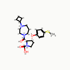 CSc1ccc(O[C@@H]2CCN(C(=O)O)[C@@H]2C(=O)N2CCCN(C3CCC3)CC2)cc1